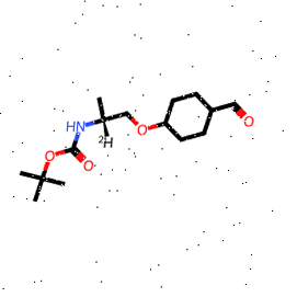 [2H][C@@](C)(COC1CCC(C=O)CC1)NC(=O)OC(C)(C)C